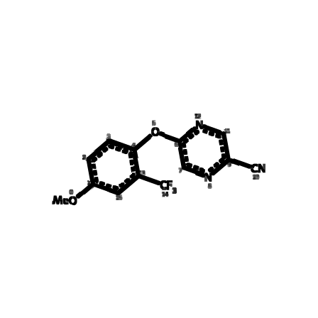 COc1ccc(Oc2cnc(C#N)cn2)c(C(F)(F)F)c1